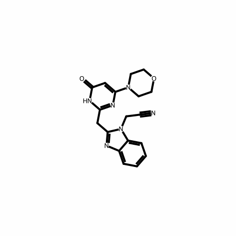 N#CCn1c(Cc2nc(N3CCOCC3)cc(=O)[nH]2)nc2ccccc21